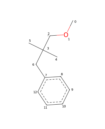 CO[CH]C(C)(C)Cc1ccccc1